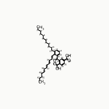 CCCCCCCCCCCCc1cccc(C(=O)c2cc(C(=O)O)ccc2C(=O)O)c1CCCCCCCCCCCC